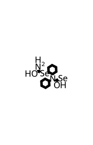 NC(O)=[Se].OC(=[Se])N(C1CCCCC1)C1CCCCC1